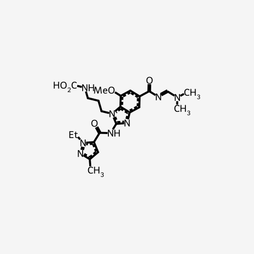 CCn1nc(C)cc1C(=O)Nc1nc2cc(C(=O)N=CN(C)C)cc(OC)c2n1CCCNC(=O)O